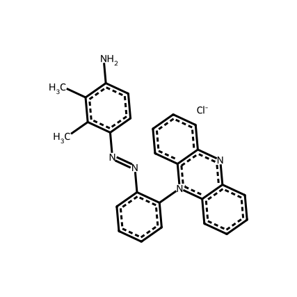 Cc1c(N)ccc(N=Nc2ccccc2-[n+]2c3ccccc3nc3ccccc32)c1C.[Cl-]